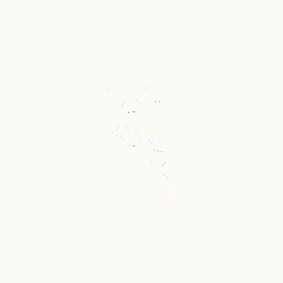 COc1cc(-c2cnn3ccc(Nc4ccc(N5CCOCC5)cc4)nc23)cc(OC)c1OC